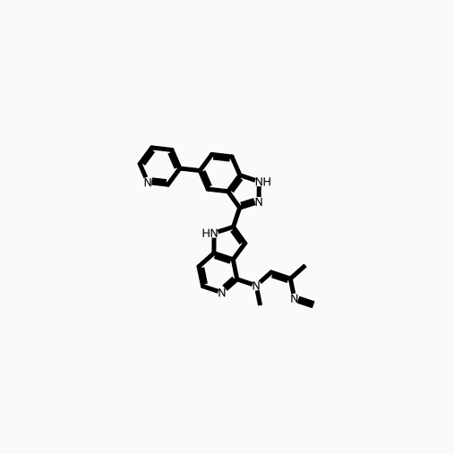 C=N/C(C)=C\N(C)c1nccc2[nH]c(-c3n[nH]c4ccc(-c5cccnc5)cc34)cc12